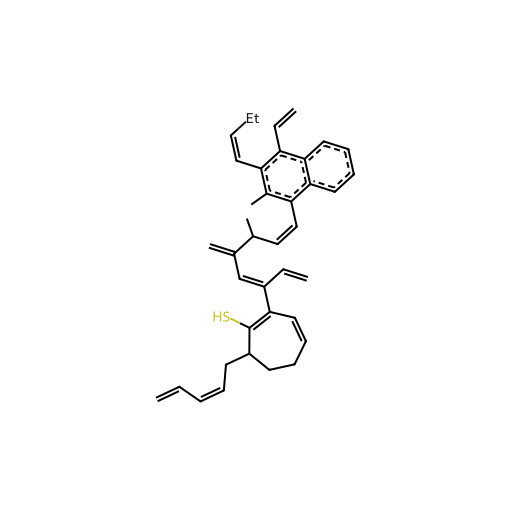 C=C/C=C\CC1CCC=CC(/C(C=C)=C/C(=C)C(C)/C=C\c2c(C)c(/C=C\CC)c(C=C)c3ccccc23)=C1S